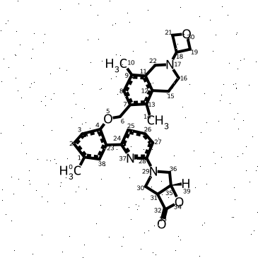 Cc1ccc(OCc2cc(C)c3c(c2C)CCN(C2COC2)C3)c(-c2cccc(N3CC4C(=O)O[C@H]4C3)n2)c1